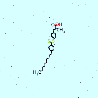 CCCCCCCCCCc1ccc(C(=S)Sc2ccc(/C=C(\C)C(=O)O)cc2)cc1